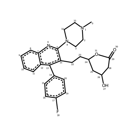 CN1CCN(c2nc3ccccc3c(-c3ccc(F)cc3)c2CCC2CC(O)CC(=O)O2)CC1